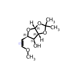 CO/C=C\[C@H]1O[C@@H]2OC(C)(C)O[C@@H]2[C@H]1O